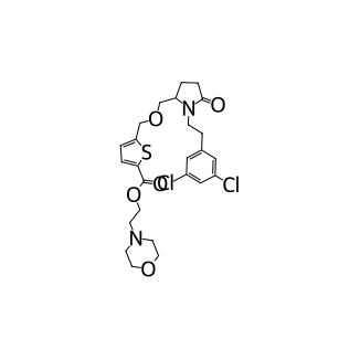 O=C(OCCN1CCOCC1)c1ccc(COCC2CCC(=O)N2CCc2cc(Cl)cc(Cl)c2)s1